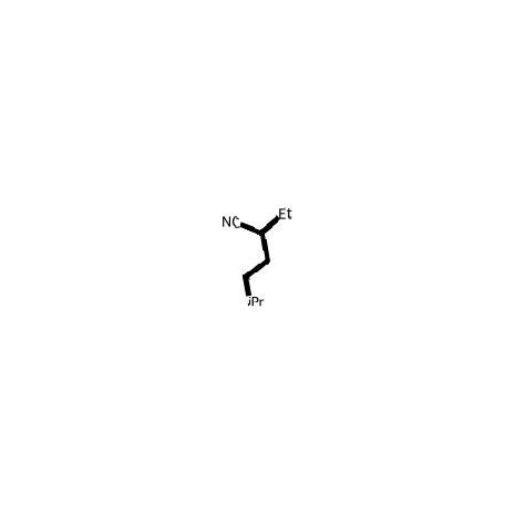 CCC(C#N)CCC(C)C